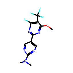 COc1nc(-c2cnc(N(C)C)nc2)nc(F)c1C(F)(F)F